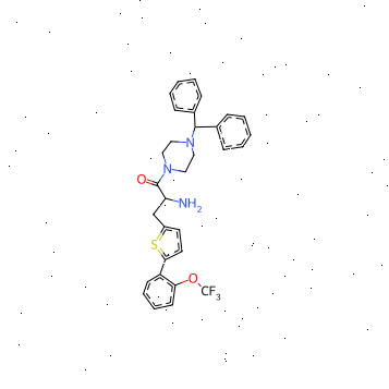 NC(Cc1ccc(-c2ccccc2OC(F)(F)F)s1)C(=O)N1CCN(C(c2ccccc2)c2ccccc2)CC1